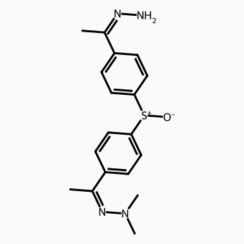 C/C(=N/N)c1ccc([S+]([O-])c2ccc(/C(C)=N\N(C)C)cc2)cc1